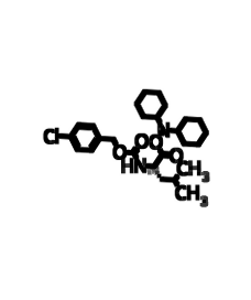 CC(C)C[C@H](NC(=O)OCc1ccc(Cl)cc1)C(=O)ON(C1CCCCC1)C1CCCCC1